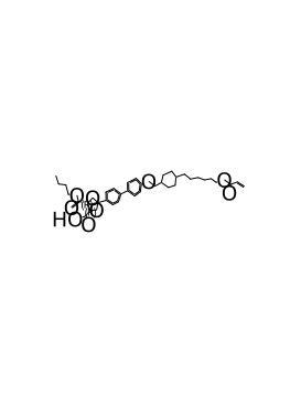 C=CC(=O)OCCCCCCC1CCC(COc2ccc(-c3ccc(C4O[C@@H](C(=O)O)[C@H](C(=O)OCCCC)O4)cc3)cc2)CC1